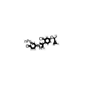 CCCn1cc(-n2cc(-c3ccc(O[C@@H](C)C4CC4)cc3Cl)cn2)ccc1=O